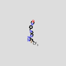 FC(F)(F)Cc1cc2c(N3CCC4(CCN(Cc5ccc(N6CCOCC6)cc5)C4)C3)ncnc2s1